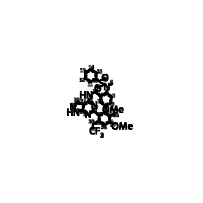 COc1ccc(N(C)S(=O)(=O)c2ccccc2)c(CNc2nc(-c3cc(F)c(OC)cc3CC(F)(F)F)nc3[nH]ncc23)c1